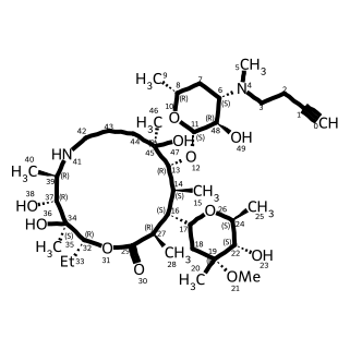 C#CCCN(C)[C@H]1C[C@@H](C)O[C@@H](O[C@@H]2[C@@H](C)[C@H](C3C[C@@](C)(OC)[C@@H](O)[C@H](C)O3)[C@@H](C)C(=O)O[C@H](CC)[C@@](C)(O)[C@H](O)[C@@H](C)NCCC[C@@]2(C)O)[C@@H]1O